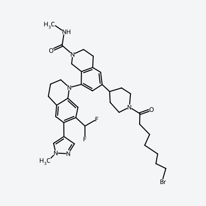 CNC(=O)N1CCc2cc(C3CCN(C(=O)CCCCCCBr)CC3)cc(N3CCCc4cc(-c5cnn(C)c5)c(C(F)F)cc43)c2C1